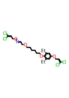 CCc1cc(OCC=C(Cl)Cl)cc(CC)c1OCCCCCCOCC=NOCC=C(Cl)Cl